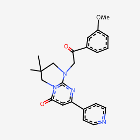 COc1cccc(C(=O)CN2CC(C)(C)Cn3c2nc(-c2ccncc2)cc3=O)c1